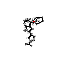 CC(C)COC(=O)N1C2CCC1CN(c1ccnc3[nH]c(-c4cnn(C(F)F)c4)cc13)C2